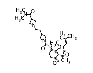 CO[C@H]1C([C@@]2(C)O[C@@H]2CC=C(C)C)[C@]2(CC[C@H]1OC(=O)N1CC(CCN3CC(C(=O)N(C)C)C3)C1)CO2